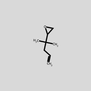 C=CCC(C)(C)C1CO1